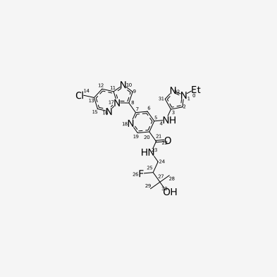 CCn1cc(Nc2cc(-c3cnc4cc(Cl)cnn34)ncc2C(=O)NCC(F)C(C)(C)O)cn1